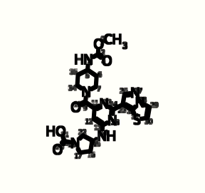 COC(=O)NC1CCN(C(=O)c2cc(N[C@@H]3CCN(C(=O)O)C3)nc(-c3cnn4ccsc34)n2)CC1